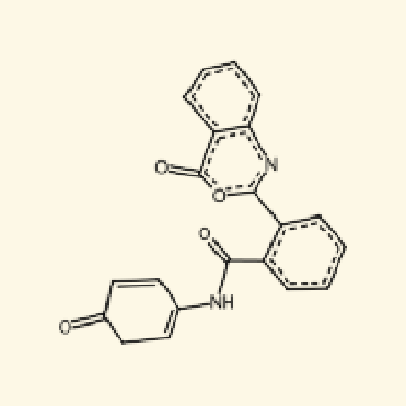 O=C1C=CC(NC(=O)c2ccccc2-c2nc3ccccc3c(=O)o2)=CC1